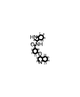 O=C(Nc1c[nH]c2ccccc12)c1cccc(Oc2ccnc3ccccc23)c1